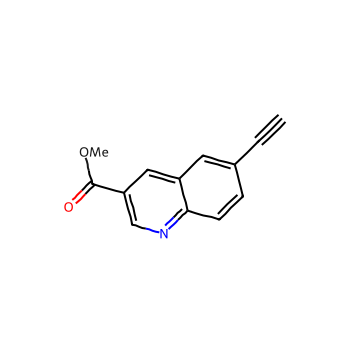 C#Cc1ccc2ncc(C(=O)OC)cc2c1